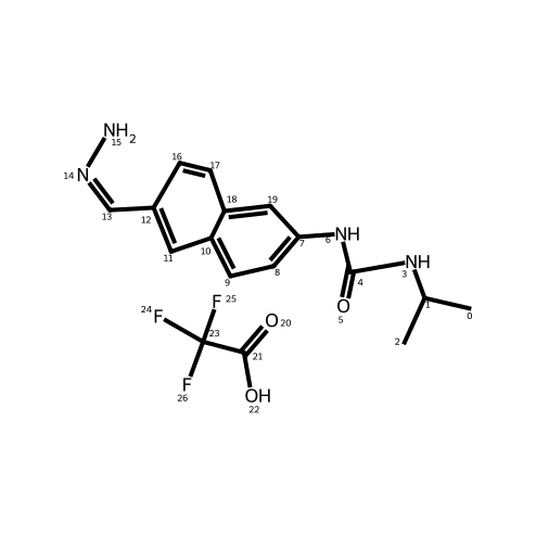 CC(C)NC(=O)Nc1ccc2cc(/C=N\N)ccc2c1.O=C(O)C(F)(F)F